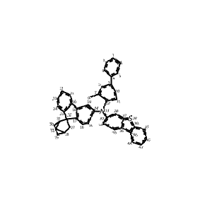 Cc1cc(-c2ccccc2)ccc1N(c1ccc2c(c1)-c1ccccc1C21CC2CCC1C2)c1ccc2c(c1)sc1ccccc12